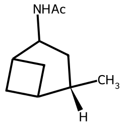 CC(=O)NC1C[C@H](C)C2CC1C2